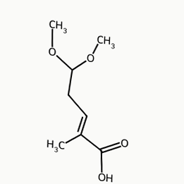 COC(C/C=C(\C)C(=O)O)OC